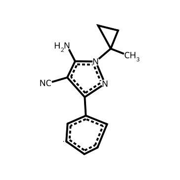 CC1(n2nc(-c3c[c]ccc3)c(C#N)c2N)CC1